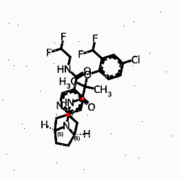 CC(C)(Oc1ccc(Cl)cc1C(F)F)C(=O)N[C@H]1C[C@H]2CC[C@@H](C1)N2c1ccc(C(=O)NCC(F)F)cn1